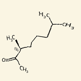 CC(=O)[C@@H](C)CCCC(C)C